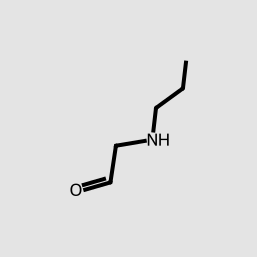 CCCNCC=O